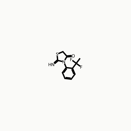 CC(F)(F)c1ccccc1N1C(=N)SCC1=O